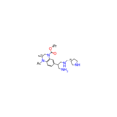 CC(=O)N1c2ccc(C(CN)CNC[C@@H]3CCNC3)cc2N(C(=O)OC(C)C)C[C@@H]1C